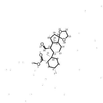 COC(=O)[C@H]1C[C@@H](C)CC[C@]1(C)[C@H]1CC[C@@]2(C)C(CCC23OCCO3)[C@@H]1C=O